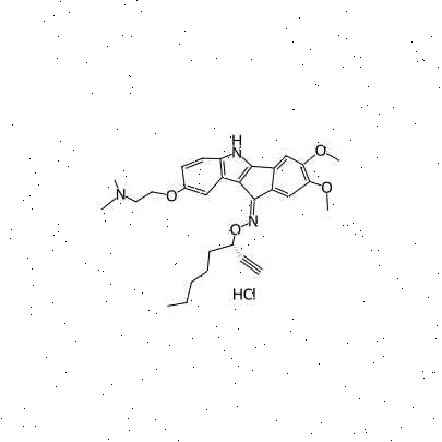 C#C[C@H](CCCCC)O/N=C1/c2cc(OC)c(OC)cc2-c2[nH]c3ccc(OCCN(C)C)cc3c21.Cl